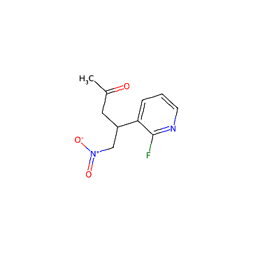 CC(=O)CC(C[N+](=O)[O-])c1cccnc1F